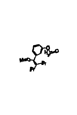 COC(=C(C(C)C)C(C)C)c1cccc(O[PH2]=O)c1